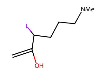 C=C(O)C(I)CCCNC